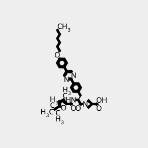 CCCCCCCOc1ccc(-c2cnc(-c3ccc(C[C@H](NC(=O)c4oc(C(C)(C)C)cc4C)C(=O)N4CC(C(=O)O)C4)cc3)nc2)cc1